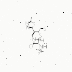 Cc1nnc(C2=CN3C(=O)C(N[Si](C)(C)C)[C@@H]3SC2C=S)s1